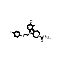 CC(C)(C)OC(=O)N1CCc2c(n(CCOc3ccc(F)cc3)c3ccc(Cl)c(Cl)c23)CC1